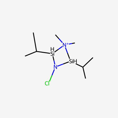 CC(C)[SiH]1N(Cl)[SiH](C(C)C)[N+]1(C)C